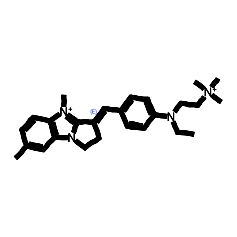 CCN(CC[N+](C)(C)C)c1ccc(/C=C2\CCn3c2[n+](C)c2ccc(C)cc23)cc1